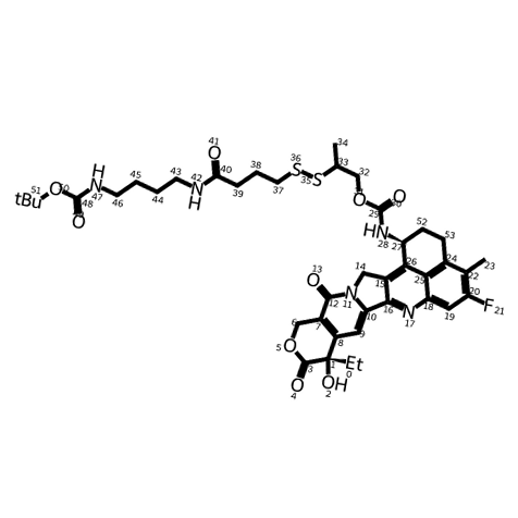 CC[C@@]1(O)C(=O)OCc2c1cc1n(c2=O)Cc2c-1nc1cc(F)c(C)c3c1c2[C@@H](NC(=O)OCC(C)SSCCCC(=O)NCCCCNC(=O)OC(C)(C)C)CC3